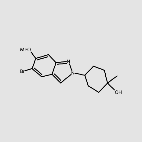 COc1cc2nn(C3CCC(C)(O)CC3)cc2cc1Br